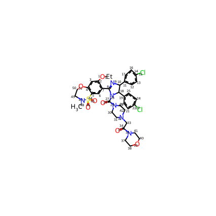 CCOc1cc2c(cc1C1=NC(c3ccc(Cl)cc3)C(c3ccc(Cl)cc3)N1C(=O)N1CCN(CC(=O)N3CCOCC3)CC1)S(=O)(=O)N(C)CCO2